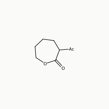 CC(=O)C1CCCCOC1=O